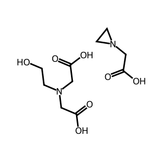 O=C(O)CN(CCO)CC(=O)O.O=C(O)CN1CC1